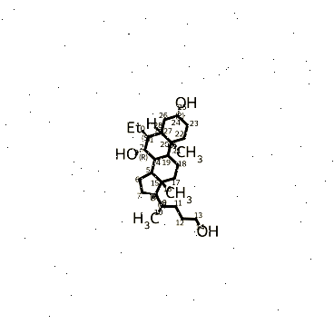 CC[C@@H]1[C@@H](O)C2C3CC[C@H]([C@H](C)CCCO)C3(C)CCC2[C@@]2(C)CC[C@@H](O)C[C@@H]12